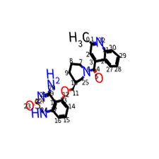 Cc1cc(C(=O)N2CCC[C@H](COc3cccc4c3C(N)=N[S+]([O-])N4)C2)c2ccccc2n1